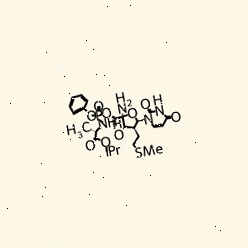 CSCC[C@@H]1[C@H](n2ccc(=O)[nH]c2=O)O[C@](N)(COP(=O)(N[C@@H](C)C(=O)OC(C)C)Oc2ccccc2)[C@H]1O